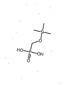 C[Si](C)(C)OCP(=O)(O)O